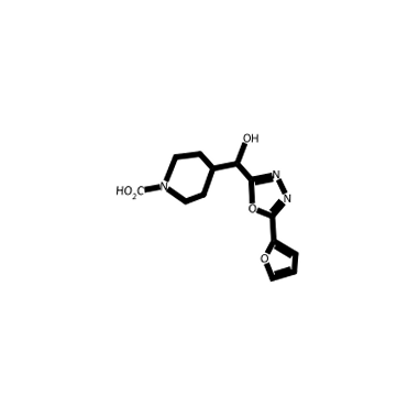 O=C(O)N1CCC(C(O)c2nnc(-c3ccco3)o2)CC1